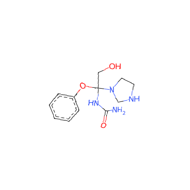 NC(=O)NC(CO)(Oc1ccccc1)N1CCNC1